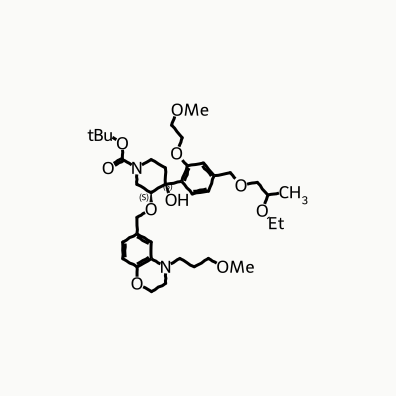 CCOC(C)COCc1ccc([C@@]2(O)CCN(C(=O)OC(C)(C)C)C[C@@H]2OCc2ccc3c(c2)N(CCCOC)CCO3)c(OCCOC)c1